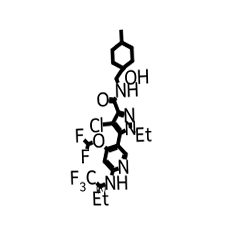 CC[C@@H](Nc1cc(OC(F)F)c(-c2c(Cl)c(C(=O)NCC3(O)CCC(C)CC3)nn2CC)cn1)C(F)(F)F